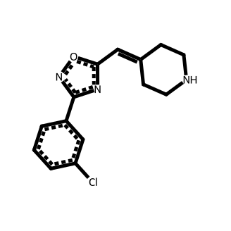 Clc1cccc(-c2noc(C=C3CCNCC3)n2)c1